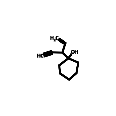 C#C[C](C=C)C1(O)CCCCC1